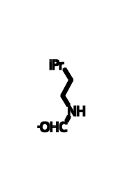 CC(C)CCN[C]=O